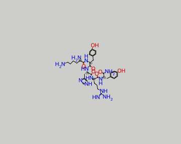 N=C(N)NCCC[C@@H](NC(=O)[C@H](Cc1c[nH]cn1)NC(=O)[C@H](Cc1ccc(O)cc1)NC(=O)[C@@H](N)CCCCN)C(=O)N[C@@H](Cc1ccc(O)cc1)C(N)=O